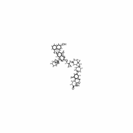 CCc1cccc2cc(O)cc(-c3ncc4c(N5CC6CCC(C5)N6)nc(OCC5(CN6CCC(C)(CN7CCN(c8cc(F)c(C9CCC(=O)NC9=O)c(F)c8)CC7)CC6)CC5)nc4c3F)c12